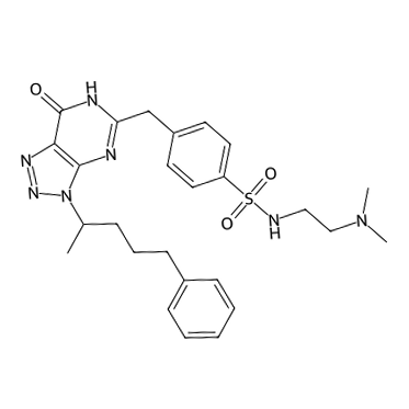 CC(CCCc1ccccc1)n1nnc2c(=O)[nH]c(Cc3ccc(S(=O)(=O)NCCN(C)C)cc3)nc21